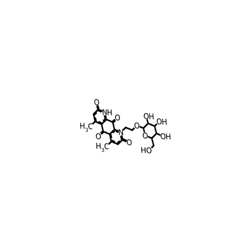 Cc1cc(=O)[nH]c2c1C(=O)c1c(C)cc(=O)n(CCOC3OC(CO)C(O)C(O)C3O)c1C2=O